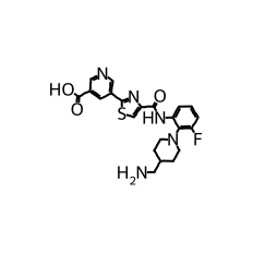 NCC1CCN(c2c(F)cccc2NC(=O)c2csc(-c3cncc(C(=O)O)c3)n2)CC1